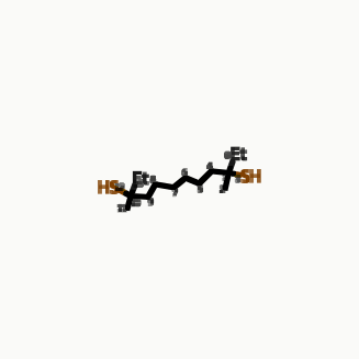 CCC(C)(S)CCCCCCC(C)(S)CC